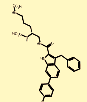 O=C(O)NCCC[C@@H](CNC(=O)c1[nH]c2cc(-c3ccc(F)cc3)ccc2c1Cc1ccccc1)NC(=O)O